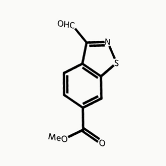 COC(=O)c1ccc2c(C=O)nsc2c1